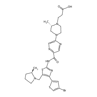 C[C@@H]1CCCN1Cc1sc(NC(=O)c2cnc(N3CCN(CCC(=O)O)[C@@H](C)C3)cn2)nc1-c1cc(Br)cs1